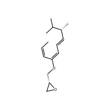 C\C=C/C(=C\C=C\[C@@H](C)C(C)C)OC[C@H]1CO1